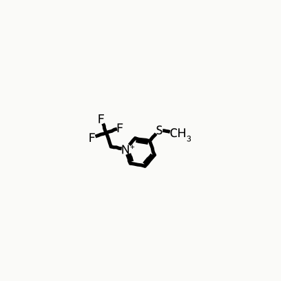 CSc1ccc[n+](CC(F)(F)F)c1